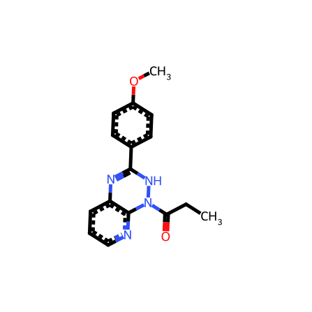 CCC(=O)N1NC(c2ccc(OC)cc2)=Nc2cccnc21